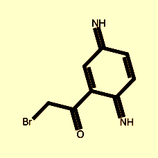 N=C1C=CC(=N)C(C(=O)CBr)=C1